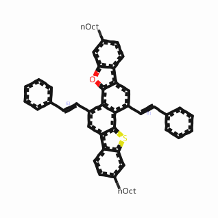 CCCCCCCCc1ccc2c(c1)oc1c2cc(/C=C/c2ccccc2)c2c3sc4cc(CCCCCCCC)ccc4c3cc(/C=C/c3ccccc3)c12